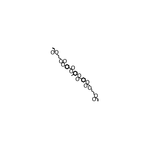 C=CC(=O)OCCCCOCC(=O)Oc1ccc(C(=O)Oc2ccc(OC(=O)c3ccc(OC(=O)OCCCCOC(=O)C=C)cc3)c(C)c2)cc1